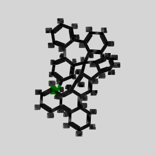 Brc1ccc2c(c1)C1(c3ccccc3-c3ccccc3-2)c2ccccc2-c2cc3c4ccccc4c4ccccc4c3cc21